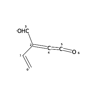 C=CC([C]=O)=C=C=O